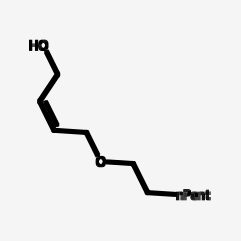 CCCCCCCOC/C=C\CO